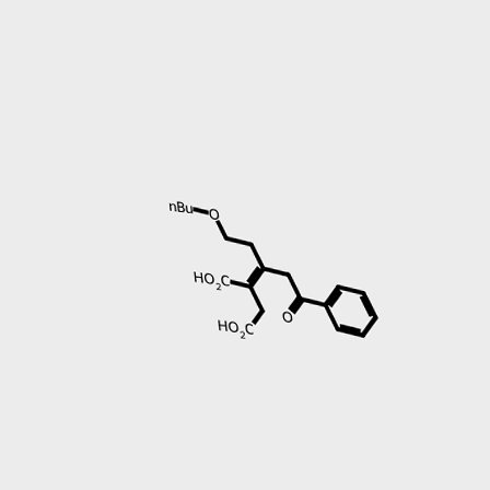 CCCCOCCC(CC(=O)c1ccccc1)=C(CC(=O)O)C(=O)O